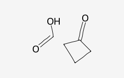 O=C1CCC1.O=CO